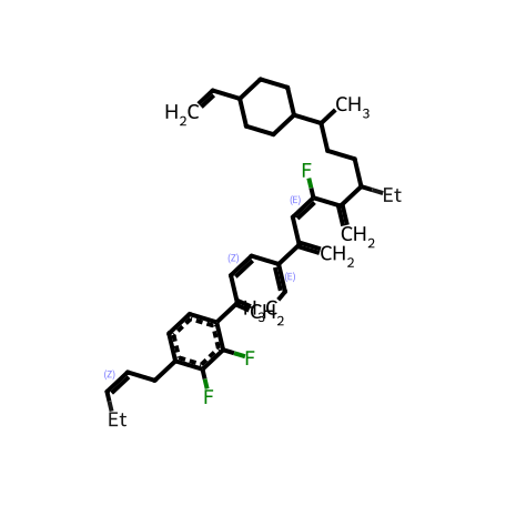 C=CC1CCC(C(C)CCC(CC)C(=C)/C(F)=C\C(=C)C(/C=C\C(=C)c2ccc(C/C=C\CC)c(F)c2F)=C/C)CC1